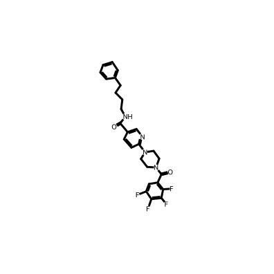 O=C(NCCCCc1ccccc1)c1ccc(N2CCN(C(=O)c3cc(F)c(F)c(F)c3F)CC2)nc1